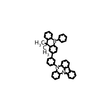 CC1(C)c2ccccc2B(c2ccccc2)c2ccc(-c3cccc(N4c5ccccc5-n5c6ccccc6c6cccc4c65)c3)cc21